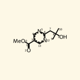 COC(=O)c1cnc(CC(C)(C)O)nc1